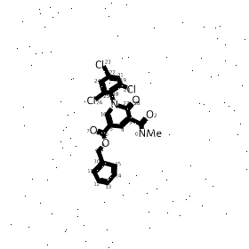 CNC(=O)c1cc(C(=O)OCc2ccccc2)cn(-c2c(Cl)cc(Cl)cc2Cl)c1=O